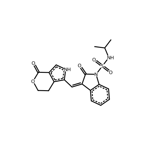 CC(C)NS(=O)(=O)N1C(=O)C(=Cc2[nH]cc3c2CCOC3=O)c2ccccc21